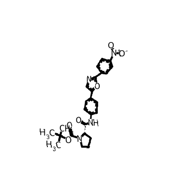 CC(C)(C)OC(=O)N1CCC[C@H]1C(=O)Nc1ccc(-c2cnc(-c3ccc([N+](=O)[O-])cc3)o2)cc1